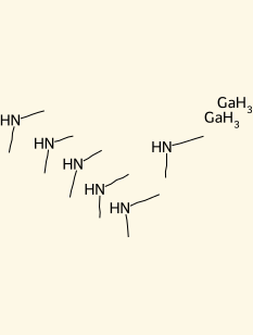 CNC.CNC.CNC.CNC.CNC.CNC.[GaH3].[GaH3]